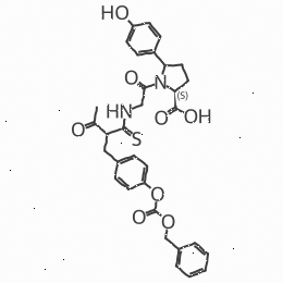 CC(=O)C(Cc1ccc(OC(=O)OCc2ccccc2)cc1)C(=S)NCC(=O)N1C(c2ccc(O)cc2)CC[C@H]1C(=O)O